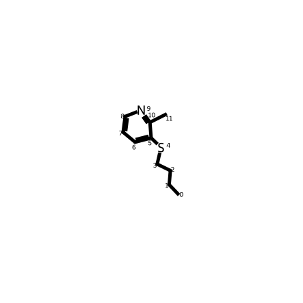 CCCCSc1cccnc1C